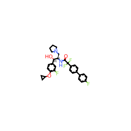 O=C(N[C@H](CN1CCCC1)[C@H](O)c1ccc(OC2CC2)c(F)c1)C(F)(F)c1ccc(-c2ccc(F)cc2)cc1